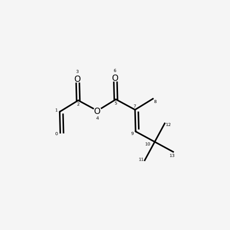 C=CC(=O)OC(=O)C(C)=CC(C)(C)C